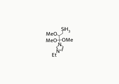 CC[n+]1ccn(C(OC)(OC)C(C[SiH3])OC)c1